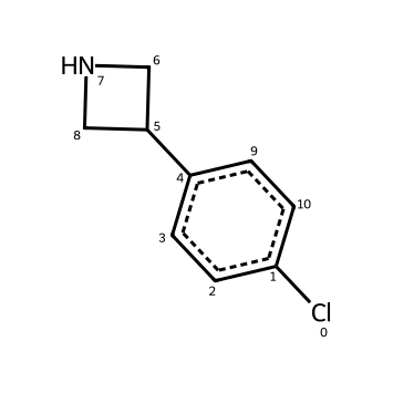 Clc1ccc(C2CNC2)cc1